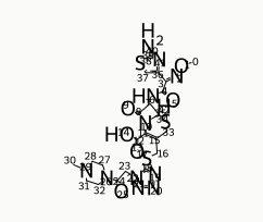 CO/N=C(/C(=O)NC1C(=O)N2C(C(=O)O)=C(CSc3nnnn3CC(=O)N3CCN(C)CC3)CS[C@H]12)c1csc(N)n1